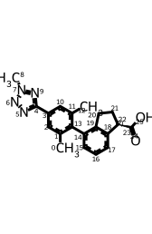 Cc1cc(-c2nnn(C)n2)cc(C)c1-c1cccc2c1CC[C@H]2C(=O)O